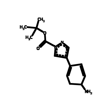 CC(C)(C)OC(=O)n1cc(C2=CCC(N)C=C2)cn1